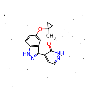 CC1(Oc2ccc3[nH]nc(-c4ccn[nH]c4=O)c3c2)CC1